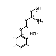 Cl.N[C@H](CS)CCSc1ccccc1